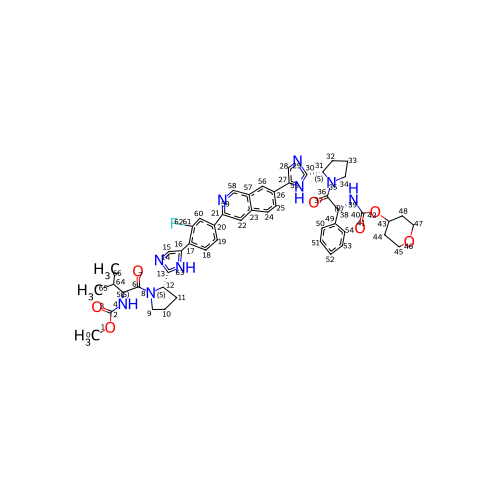 COC(=O)N[C@H](C(=O)N1CCC[C@H]1c1ncc(-c2ccc(-c3cc4ccc(-c5cnc([C@@H]6CCCN6C(=O)[C@H](NC(=O)OC6CCOCC6)c6ccccc6)[nH]5)cc4cn3)cc2F)[nH]1)C(C)C